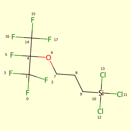 FC(F)(F)C(F)(OCCC[Si](Cl)(Cl)Cl)C(F)(F)F